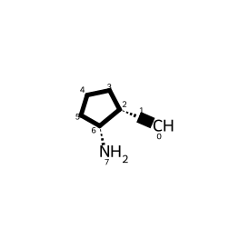 C#C[C@H]1CCC[C@H]1N